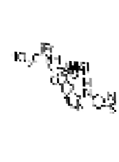 CC(C)C(NCCOc1cc2ncnc(Nc3ccc4scnc4c3)c2cc1S(=O)(=O)C(C)(C)C)C(=O)O.Cl.Cl